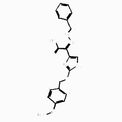 COc1ccc(CSc2nc(/C(=N/OCc3ccccc3)C(=O)O)cs2)cc1